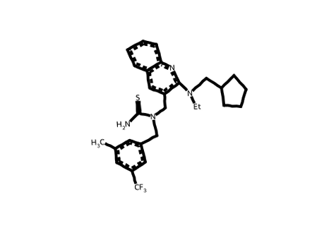 CCN(CC1CCCC1)c1nc2ccccc2cc1CN(Cc1cc(C)cc(C(F)(F)F)c1)C(N)=S